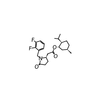 CC(C)[C@H]1CC[C@@H](C)C[C@@H]1OC(=O)C[C@H]1CCC(=O)N1Cc1cccc(F)c1F